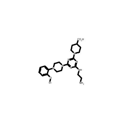 CCOc1ccccc1N1CCN(c2nc(NCCN)nc(N3CCC(C(=O)O)CC3)n2)CC1